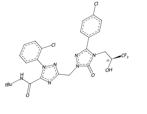 CC(C)(C)NC(=O)c1nc(Cn2nc(-c3ccc(Cl)cc3)n(C[C@H](O)C(F)(F)F)c2=O)nn1-c1ccccc1Cl